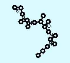 C1=CC(c2ccccc2)CC=C1c1ccc(-n2c3ccccc3c3c4c5ccccc5n(-c5ccc(-c6ccc(-c7cc(-c8ccccc8)cc(-c8ccc(-n9c%10ccccc%10c%10c%11c%12ccccc%12n(-c%12ccc(-c%13cccc%14c%13oc%13ccccc%13%14)cc%12)c%11ccc%109)cc8)c7)c7c6oc6ccccc67)cc5)c4ccc32)cc1